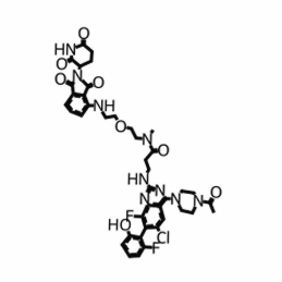 CC(=O)N1CCN(c2nc(NCCC(=O)N(C)CCOCCNc3cccc4c3C(=O)N(C3CCC(=O)NC3=O)C4=O)nc3c(F)c(-c4c(O)cccc4F)c(Cl)cc23)CC1